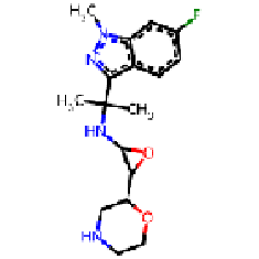 Cn1nc(C(C)(C)NC2OC2[C@@H]2CNCCO2)c2ccc(F)cc21